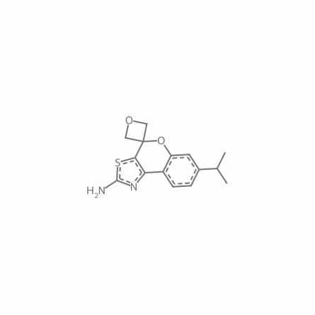 CC(C)c1ccc2c(c1)OC1(COC1)c1sc(N)nc1-2